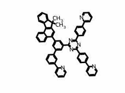 CC1(C)c2ccccc2-c2c1cc(-c1cc(-c3cccc(-c4ccccn4)c3)cc(-c3nc(-c4ccc(-c5ccccn5)cc4)nc(-c4ccc(-c5ccccn5)cc4)n3)c1)c1ccccc21